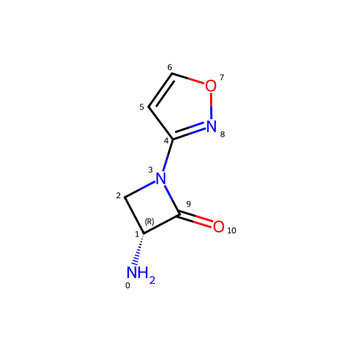 N[C@@H]1CN(c2ccon2)C1=O